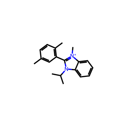 Cc1ccc(C)c(-c2n(C(C)C)c3ccccc3[n+]2C)c1